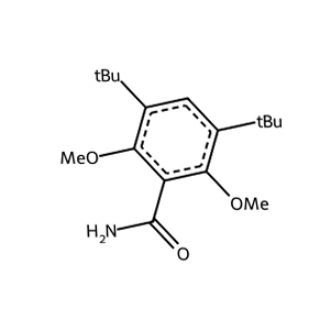 COc1c(C(C)(C)C)cc(C(C)(C)C)c(OC)c1C(N)=O